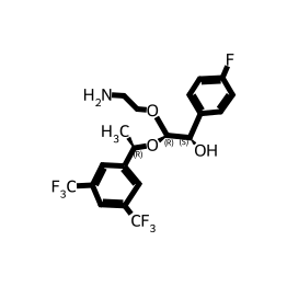 C[C@@H](O[C@@H](OCCN)[C@@H](O)c1ccc(F)cc1)c1cc(C(F)(F)F)cc(C(F)(F)F)c1